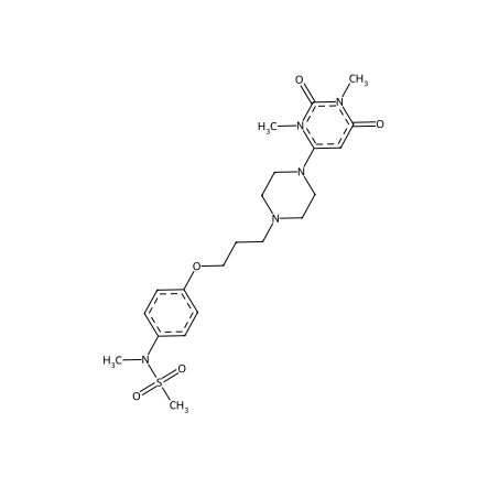 CN(c1ccc(OCCCN2CCN(c3cc(=O)n(C)c(=O)n3C)CC2)cc1)S(C)(=O)=O